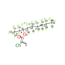 C=C(Cl)C(=O)OC(F)(C(F)(F)C(F)(F)F)C(F)(F)C(F)(F)C(F)(F)C(F)(F)C(F)(F)C(F)(F)F